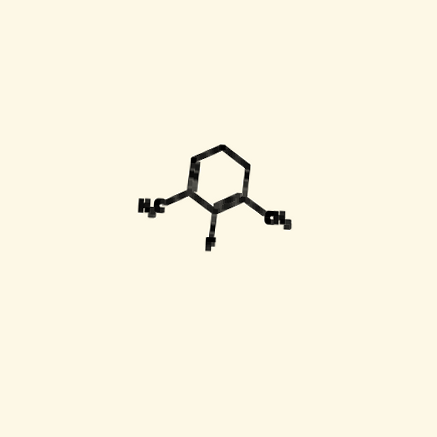 CC1=CCCC(C)=C1F